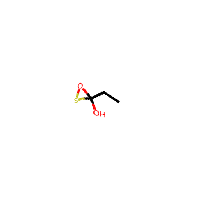 CCC1(O)OS1